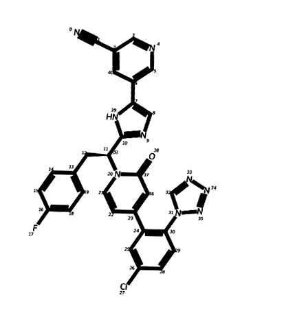 N#Cc1cncc(-c2cnc([C@H](Cc3ccc(F)cc3)n3ccc(-c4cc(Cl)ccc4-n4cnnn4)cc3=O)[nH]2)c1